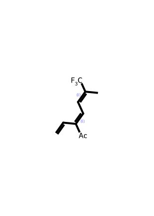 C=C/C(=C\C=C(/C)C(F)(F)F)C(C)=O